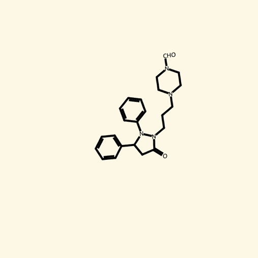 O=CN1CCN(CCCN2C(=O)CC(c3ccccc3)N2c2ccccc2)CC1